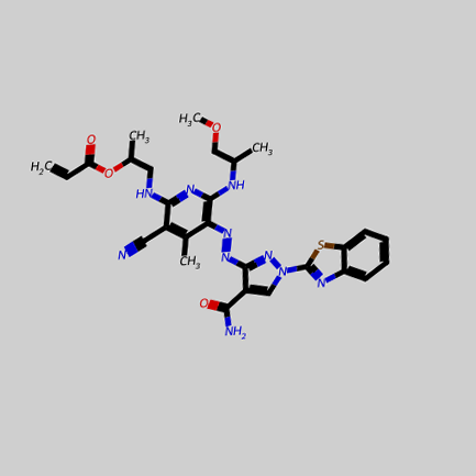 C=CC(=O)OC(C)CNc1nc(NC(C)COC)c(N=Nc2nn(-c3nc4ccccc4s3)cc2C(N)=O)c(C)c1C#N